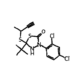 C#CC(C)SC1(C(C)(C)C)NN(c2ccc(Cl)cc2Cl)C(=O)S1